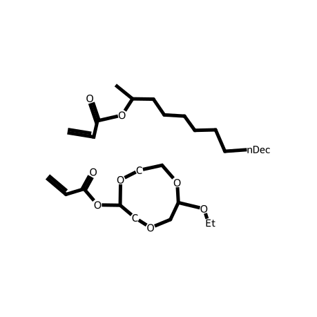 C=CC(=O)OC(C)CCCCCCCCCCCCCCCC.C=CC(=O)OC1COCC(OCC)OCCO1